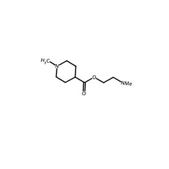 CNCCOC(=O)C1CCN(C)CC1